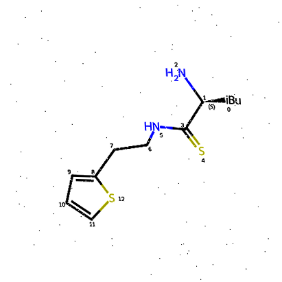 CCC(C)[C@H](N)C(=S)NCCc1cccs1